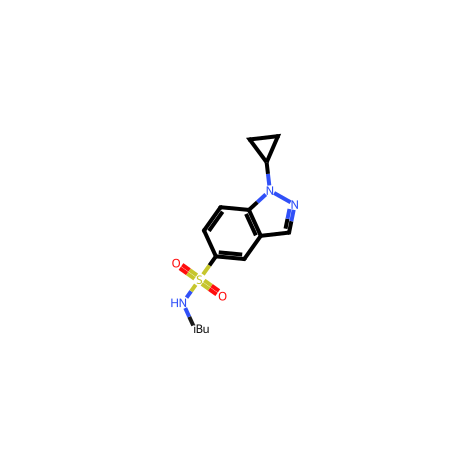 CCC(C)NS(=O)(=O)c1ccc2c(cnn2C2CC2)c1